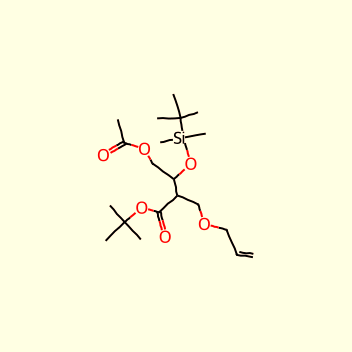 C=CCOCC(C(=O)OC(C)(C)C)C(COC(C)=O)O[Si](C)(C)C(C)(C)C